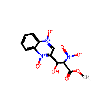 COC(=O)C(C(O)c1c[n+]([O-])c2ccccc2[n+]1[O-])[N+](=O)[O-]